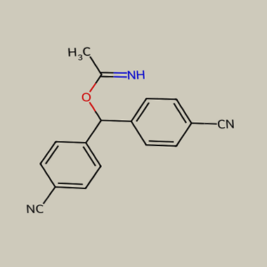 CC(=N)OC(c1ccc(C#N)cc1)c1ccc(C#N)cc1